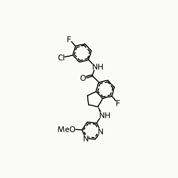 COc1cc(N[C@H]2CCc3c(C(=O)Nc4ccc(F)c(Cl)c4)ccc(F)c32)ncn1